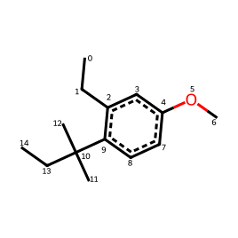 CCc1cc(OC)ccc1C(C)(C)CC